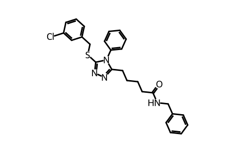 O=C(CCCCc1nnc(SCc2cccc(Cl)c2)n1-c1ccccc1)NCc1ccccc1